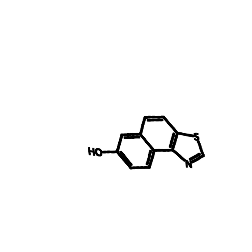 Oc1ccc2c(ccc3scnc32)c1